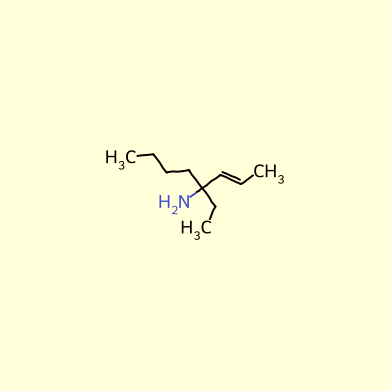 CC=CC(N)(CC)CCCC